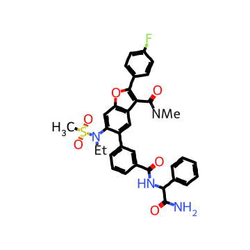 CCN(c1cc2oc(-c3ccc(F)cc3)c(C(=O)NC)c2cc1-c1cccc(C(=O)NC(C(N)=O)c2ccccc2)c1)S(C)(=O)=O